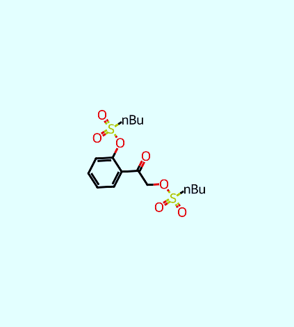 CCCCS(=O)(=O)OCC(=O)c1ccccc1OS(=O)(=O)CCCC